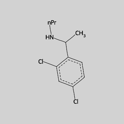 CCCNC(C)c1ccc(Cl)cc1Cl